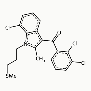 CSCCCn1c(C)c(C(=O)c2cccc(Cl)c2Cl)c2cccc(Cl)c21